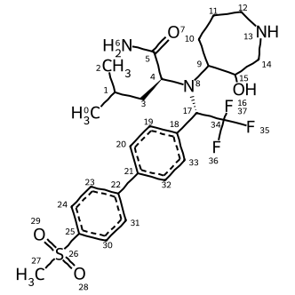 CC(C)C[C@@H](C(N)=O)N(C1CCCNCC1O)[C@@H](c1ccc(-c2ccc(S(C)(=O)=O)cc2)cc1)C(F)(F)F